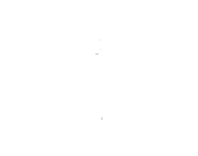 C=CCNC(=O)CCCCCCCCCCCCCCC(C)C